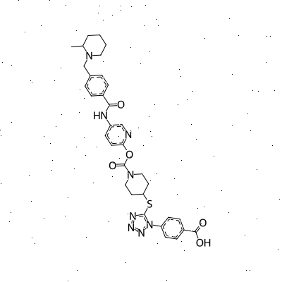 CC1CCCCN1Cc1ccc(C(=O)Nc2ccc(OC(=O)N3CCC(Sc4nnnn4-c4ccc(C(=O)O)cc4)CC3)nc2)cc1